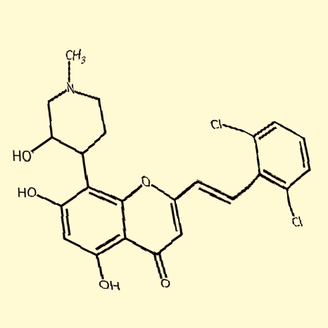 CN1CCC(c2c(O)cc(O)c3c(=O)cc(C=Cc4c(Cl)cccc4Cl)oc23)C(O)C1